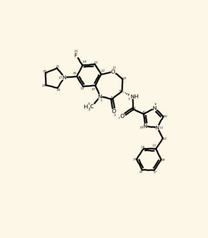 CN1C(=O)[C@@H](NC(=O)c2ncn(Cc3ccccc3)n2)COc2cc(F)c(N3CCCC3)cc21